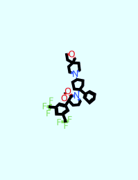 COC1(c2cc(C(F)(F)F)cc(C(F)(F)F)c2)CCCN([C@]2(c3ccccc3)CC[C@@H](N3CCC4(CCOC4)CC3)CC2)C1=O